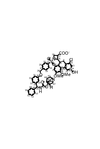 COc1ccc([C@H](Cc2c(Cl)c[n+](O)cc2Cl)C2C(C(=O)[O-])CN2S(=O)(=O)c2ccc(COc3cccc([C@@H](NC(=O)O[C@H]4CN5CCC4CC5)c4ccccc4)c3)cc2)cc1OC